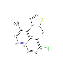 Cc1sccc1-c1c([N+](=O)[O-])cnc2ccc(Cl)cc12